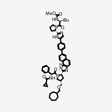 CC[C@H](C)[C@H](NC(=O)OC)C(=O)N1CCC[C@H]1c1ncc(-c2ccc(-c3ccc4c(ccc5nc([C@@H]6C[C@H](COCC7CCCCCC7)CN6C(=O)[C@H](NC(=O)C6CC6)c6ccccc6)[nH]c54)c3)cc2)[nH]1